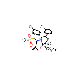 CCCCS(=O)(=O)C[C@H](C1CC1)N1C(=O)[C@](CC)(CC(=O)O)C[C@H](c2cccc(Cl)c2)[C@H]1c1ccc(Cl)cc1